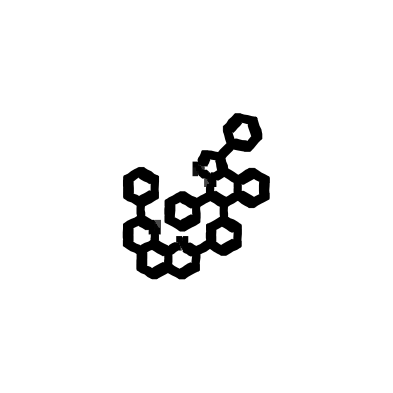 c1ccc(-c2ccc3ccc4ccc(-c5cccc(-c6c(-c7ccccc7)n7ncc(-c8ccccc8)c7c7ccccc67)c5)nc4c3n2)cc1